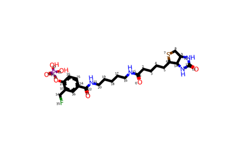 O=C(CCCCC1SCC2NC(=O)NC21)NCCCCCNC(=O)c1ccc(OP(=O)(O)O)c(CF)c1